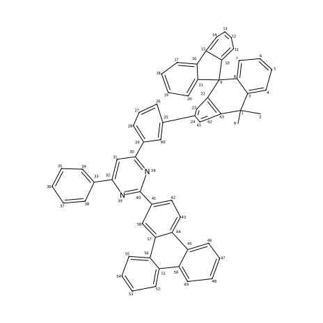 CC1(C)c2ccccc2C2(c3ccccc3-c3ccccc32)c2cc(-c3cccc(-c4cc(-c5ccccc5)nc(-c5ccc6c7ccccc7c7ccccc7c6c5)n4)c3)ccc21